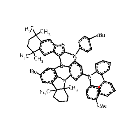 CSc1ccc(N(c2cc3c4c(c2)N2c5c(cc(C(C)(C)C)cc5C5(C)CCCCC25C)B4c2c(sc4cc5c(cc24)C(C)(C)CCC5(C)C)N3c2ccc(C(C)(C)C)cc2)c2ccccc2-c2ccccc2)cc1